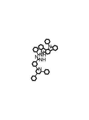 N=C(/N=C(\Nn1c2ccccc2c2c1ccc1c3ccccc3n(-c3ccccc3)c12)c1ccccc1)c1cccc(-c2cc(-c3ccccc3)cc(-c3ccccc3)n2)c1